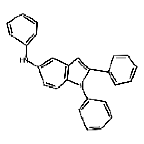 c1ccc(Nc2ccc3c(c2)cc(-c2ccccc2)n3-c2ccccc2)cc1